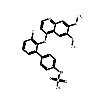 COc1cc2nccc(Oc3c(F)cccc3-c3ccc(NS(C)(=O)=O)cc3)c2cc1OC